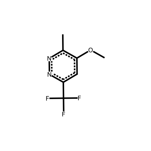 COc1cc(C(F)(F)F)nnc1C